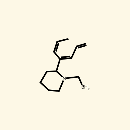 BCN1CCCCC1C(/C=C\C)=C/C=C